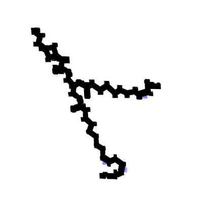 CCCCC/C=C\C/C=C\CCCCCCCC(=O)OCC(COC(=O)NC1CN(CCF)C1)OC(=O)CCCCCCC/C=C\CCCCCCCC